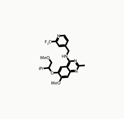 COCC(Oc1cc2c(NCc3ccnc(C(F)(F)F)c3)nc(C)nc2cc1OC)C(C)C